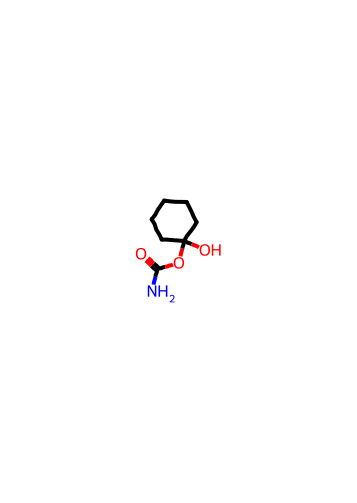 NC(=O)OC1(O)CCCCC1